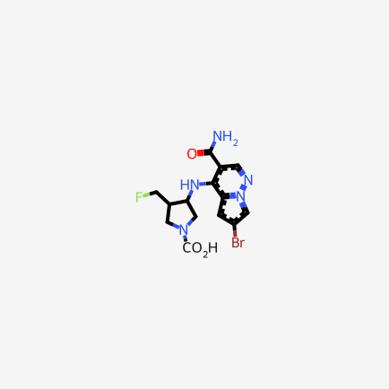 NC(=O)c1cnn2cc(Br)cc2c1NC1CN(C(=O)O)CC1CF